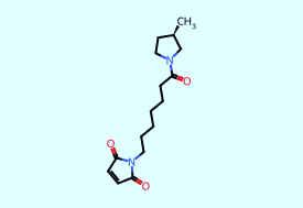 C[C@@H]1CCN(C(=O)CCCCCCN2C(=O)C=CC2=O)C1